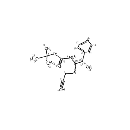 C#CCC[C@@H](NC(=O)OC(C)(C)C)[C@@H](O)c1ccccc1